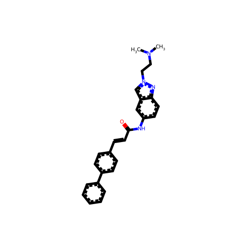 CN(C)CCn1cc2cc(NC(=O)C=Cc3ccc(-c4ccccc4)cc3)ccc2n1